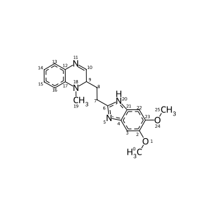 COc1cc2nc(CCC3C=Nc4ccccc4N3C)[nH]c2cc1OC